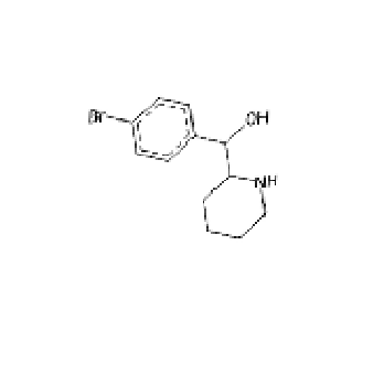 OC(c1ccc(Br)cc1)C1CCCCN1